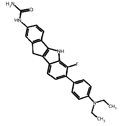 CCN(CC)c1ccc(-c2ccc3c4c([nH]c3c2F)-c2ccc(NC(N)=O)cc2C4)cc1